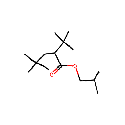 CC(C)COC(=O)C(CC(C)(C)C)C(C)(C)C